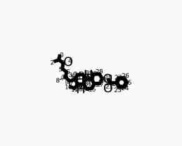 CC(C)C(=O)CC[C@@H](C)[C@H]1CC[C@H]2[C@@H]3CCC4CC(OC(=O)c5ccccc5)CC[C@]4(C)[C@H]3CC[C@]12C